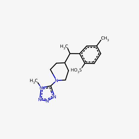 Cc1ccc(S(=O)(=O)O)c(C(C)C2CCN(c3nnnn3C)CC2)c1